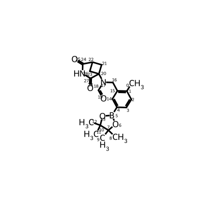 Cc1ccc(B2OC(C)(C)C(C)(C)O2)cc1CN(C=O)C12CC(C1)C(=O)NC2=O